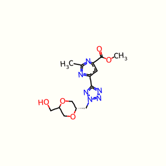 COC(=O)c1cc(-c2nnn(C[C@H]3COC(CO)CO3)n2)nc(C)n1